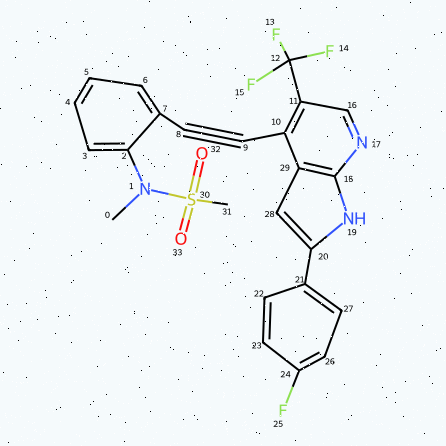 CN(c1ccccc1C#Cc1c(C(F)(F)F)cnc2[nH]c(-c3ccc(F)cc3)cc12)S(C)(=O)=O